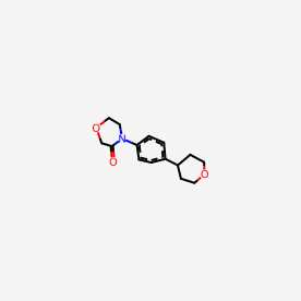 O=C1COCCN1c1ccc(C2CCOCC2)cc1